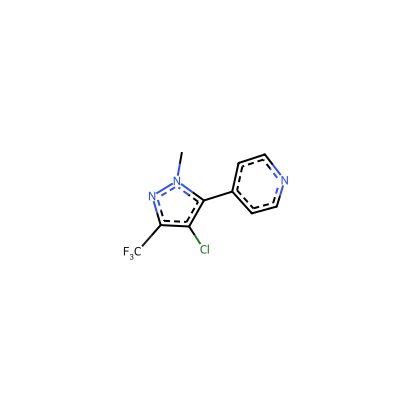 Cn1nc(C(F)(F)F)c(Cl)c1-c1ccncc1